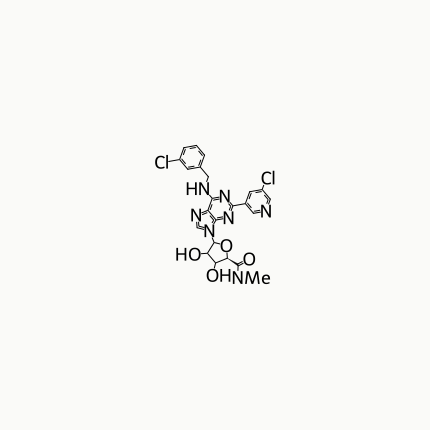 CNC(=O)[C@@H]1OC(n2cnc3c(NCc4cccc(Cl)c4)nc(-c4cncc(Cl)c4)nc32)C(O)C1O